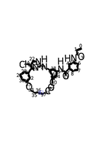 C=CC(=O)Nc1cccc(C(=O)Nc2cc3cc(c2)Nc2ncc(Cl)c(n2)-c2cccc(c2)OCC/C=C/COC3)c1